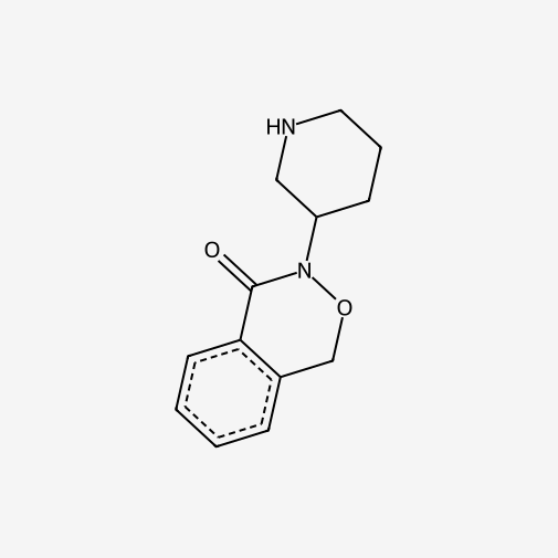 O=C1c2ccccc2CON1C1CCCNC1